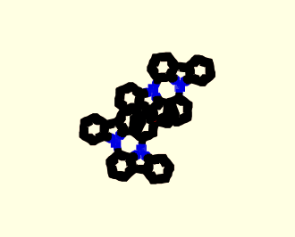 c1cc(-c2cccc(-n3c4ccccc4c4cccc(-n5c6ccccc6c6ccccc65)c43)c2)cc(-n2c3ccccc3c3cccc(-n4c5ccccc5c5ccccc54)c32)c1